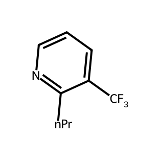 CCCc1ncccc1C(F)(F)F